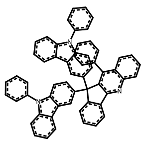 c1ccc(-c2c3c(nc4ccccc24)-c2ccccc2C3(c2ccc3c(c2)c2ccccc2n3-c2ccccc2)c2ccc3c(c2)c2ccccc2n3-c2ccccc2)cc1